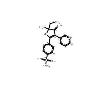 CCC1(C)OC(c2ccc(S(N)(=O)=O)cc2)=C(c2cccnc2)C1=O